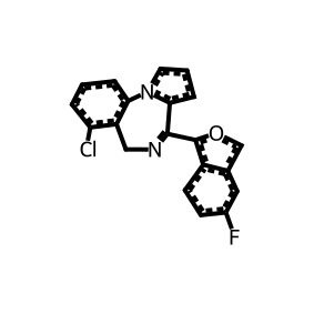 Fc1ccc2c(C3=NCc4c(Cl)cccc4-n4cccc43)occ2c1